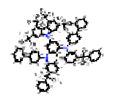 CC(C)(C)c1cc(C(C)(C)C)c2c3c(C(C)(C)C)cc(C(C)(C)C)cc3n(-c3cc4c5c(c3)N(c3ccc(-c6ccccc6)cc3)c3cc(C(C)(C)c6ccccc6)ccc3B5c3ccc(C(C)(C)c5ccccc5)cc3N4c3ccc(-c4ccccc4)cc3)c2c1